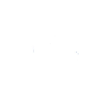 C=C1CCC(N2Cc3cc(NC(=C)C4=CC=C(C)CC4)c(C)cc3C2=C)C(=C)N1